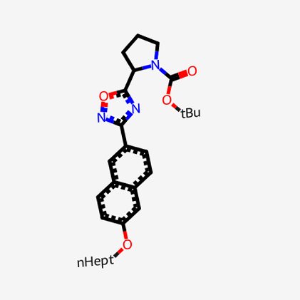 CCCCCCCOc1ccc2cc(-c3noc(C4CCCN4C(=O)OC(C)(C)C)n3)ccc2c1